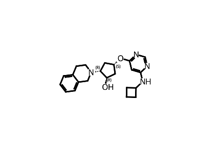 O[C@@H]1C[C@@H](Oc2cc(NC3CCC3)ncn2)C[C@H]1N1CCc2ccccc2C1